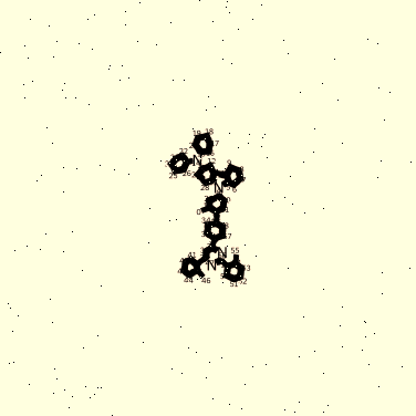 Cc1cc(-n2c3ccccc3c3cc(N(c4ccccc4)c4ccccc4)ccc32)ccc1-c1ccc(-c2cc(-c3ccccc3C)nc(-c3ccccc3C)n2)cc1